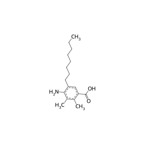 CCCCCCCCc1cc(C(=O)O)c(C)c(C)c1N